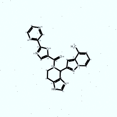 Cc1cccn2nc(C3c4nc[nH]c4CCN3C(=O)c3cnc(-c4cnccn4)o3)cc12